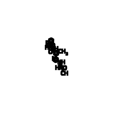 C#CC(=O)NCCNc1ccnc(-c2cc(C)cc(C(=O)NNS(=O)(=O)c3ccccc3F)c2)c1